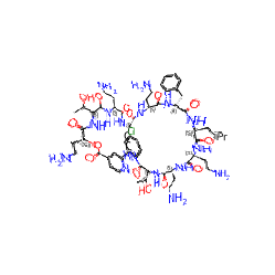 CC(C)C[C@@H]1NC(=O)[C@@H](Cc2ccccc2)NC(=O)[C@H](CCN)NC(=O)[C@@H](NC(=O)[C@H](CCN)NC(=O)[C@@H](NC(=O)[C@H](CCN)OC(=O)c2ccnc(-c3cccc(Cl)c3)c2)C(C)O)CCNC(=O)[C@H]([C@H](C)O)NC(=O)[C@H](CCN)NC(=O)[C@H](CCN)NC1=O